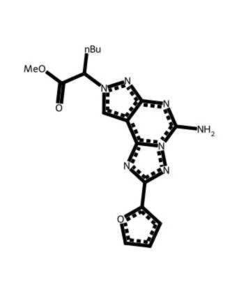 CCCCC(C(=O)OC)n1cc2c(nc(N)n3nc(-c4ccco4)nc23)n1